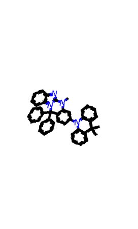 CN1c2cc(N3c4ccccc4C(C)(C)c4ccccc43)ccc2C(c2ccccc2)(c2ccccc2)n2c1nc1ccccc12